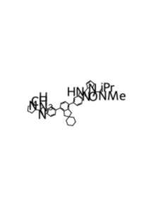 CNC(C(=O)N1CC=CC1c1nc2ccc(-c3ccc(-c4ccc5nc(C6CCCN6C)[nH]c5c4)c4c3CC3(CCCCC3)C4)cc2[nH]1)C(C)C